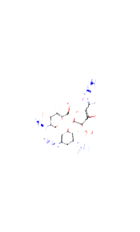 CCCN[C@@H]1CC(N=[N+]=[N-])[C@@H](O[C@H]2OC([C@@H](C)O)[C@@H](O)[C@H](O)C2N=[N+]=[N-])C(OC2O[C@H]([C@H](C)N=[N+]=[N-])C(O)C2O)[C@@H]1O